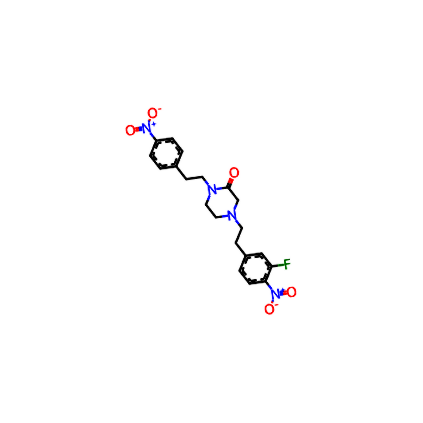 O=C1CN(CCc2ccc([N+](=O)[O-])c(F)c2)CCN1CCc1ccc([N+](=O)[O-])cc1